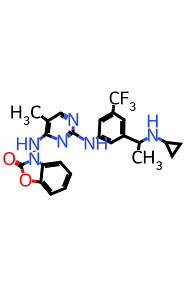 Cc1cnc(Nc2cc(C(C)NC3CC3)cc(C(F)(F)F)c2)nc1Nn1c(=O)oc2ccccc21